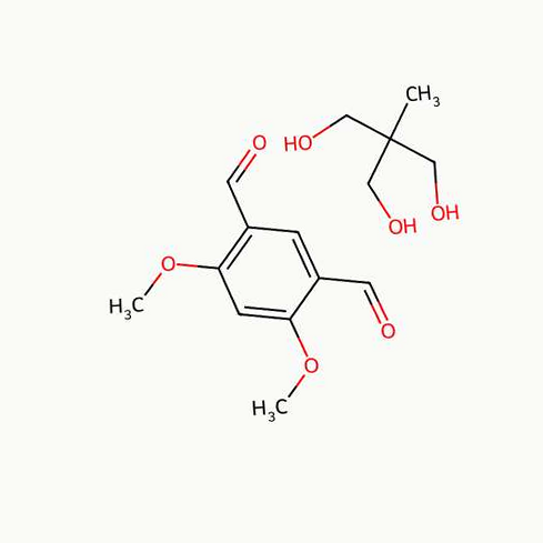 CC(CO)(CO)CO.COc1cc(OC)c(C=O)cc1C=O